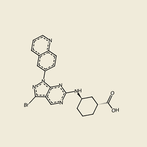 O=C(O)[C@@H]1CCC[C@@H](Nc2ncc3c(Br)nn(-c4ccc5ncccc5c4)c3n2)C1